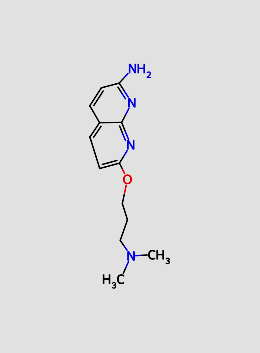 CN(C)CCCOc1ccc2ccc(N)nc2n1